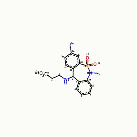 CCOC(=O)CCNC1c2ccccc2N(C)S(=O)(=O)c2cc(I)ccc21